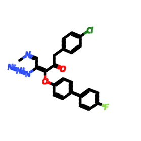 C/N=C\C(N=[N+]=[N-])=C(\Oc1ccc(-c2ccc(F)cc2)cc1)C(=O)Cc1ccc(Cl)cc1